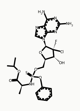 CC(C)OC(=O)[C@H](C)NP(=S)(OC[C@H]1O[C@@H](n2cnc3c(N)nc(N)nc32)[C@@](F)(Cl)[C@@H]1O)Oc1ccccc1